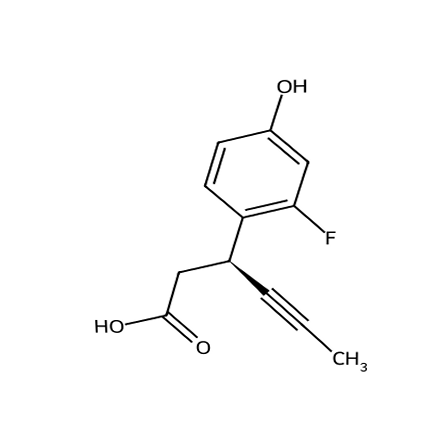 CC#C[C@@H](CC(=O)O)c1ccc(O)cc1F